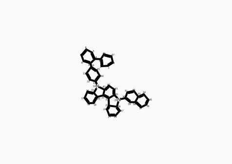 c1ccc(-c2ccccc2-c2ccc(-n3c4ccccc4c4c5c6ccccc6n(-c6ccc7ccccc7c6)c5ccc43)cc2)cc1